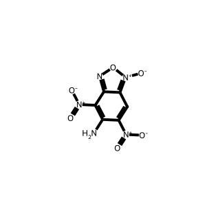 Nc1c([N+](=O)[O-])cc2c(no[n+]2[O-])c1[N+](=O)[O-]